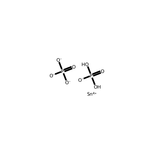 O=P([O-])(O)O.O=P([O-])([O-])[O-].[Sn+4]